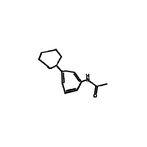 CC(=O)Nc1cccc([C]2CCCCC2)c1